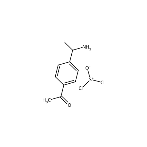 CC(=O)c1ccc(C(N)I)cc1.[O-][S+](Cl)Cl